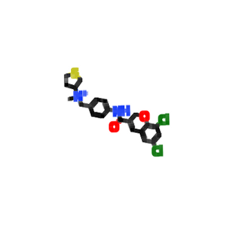 C[N+](C)(Cc1ccc(NC(=O)C2=Cc3cc(Cl)cc(Cl)c3OC2)cc1)C1CCSC1